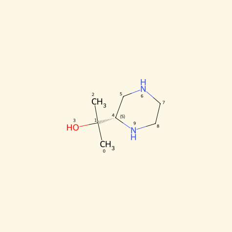 CC(C)(O)[C@@H]1CNCCN1